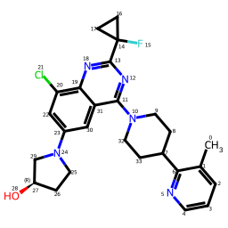 Cc1cccnc1C1CCN(c2nc(C3(F)CC3)nc3c(Cl)cc(N4CC[C@@H](O)C4)cc23)CC1